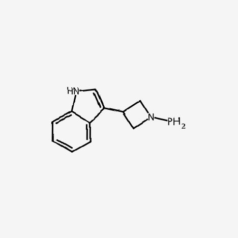 PN1CC(c2c[nH]c3ccccc23)C1